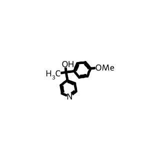 COc1ccc(C(C)(O)c2ccncc2)cc1